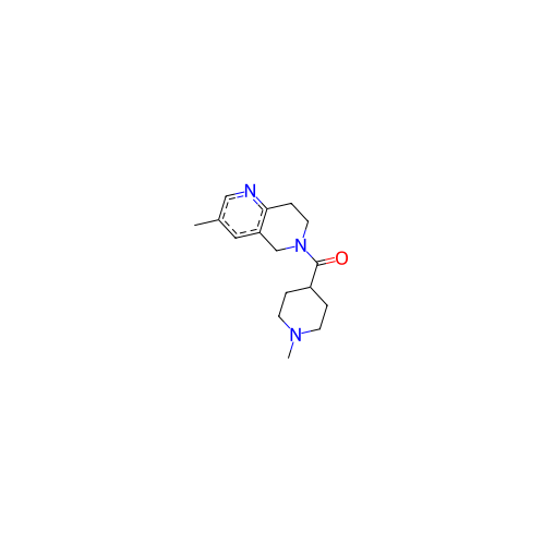 Cc1cnc2c(c1)CN(C(=O)C1CCN(C)CC1)CC2